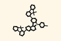 Cc1ccc(-n2c3ccc(-c4cccc5c4C(C)(C)c4ccccc4-5)cc3c3c4ccc(-c5cccc6c5C(C)(C)c5ccccc5-6)cc4ccc32)cc1